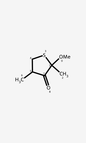 COC1(C)SCC(C)C1=O